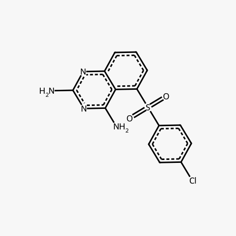 Nc1nc(N)c2c(S(=O)(=O)c3ccc(Cl)cc3)cccc2n1